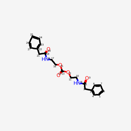 O=C(Cc1ccccc1)NCCOC(=O)OCCNC(=O)Cc1ccccc1